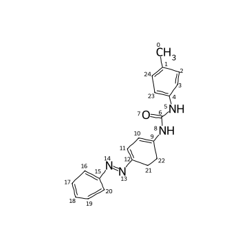 Cc1ccc(NC(=O)NC2=CC=C(N=Nc3ccccc3)CC2)cc1